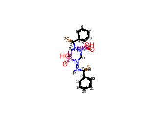 CN(C(=S)c1ccccc1)N(CN(N(C)C(=S)c1ccccc1)[PH](=O)O)[PH](=O)O